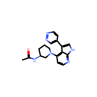 CC(=O)N[C@H]1CCCN(c2ccnc3[nH]cc(-c4ccnnc4)c23)C1